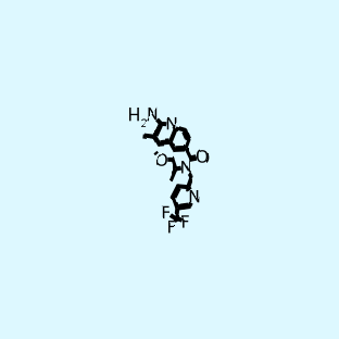 COCC(C)N(Cc1ccc(C(F)(F)F)cn1)C(=O)c1ccc2nc(N)c(C)cc2c1